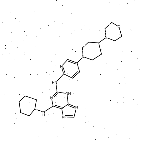 c1nc2[nH]c(Nc3ccc(N4CCC(N5CCOCC5)CC4)cn3)nc(NC3CCCCC3)c-2n1